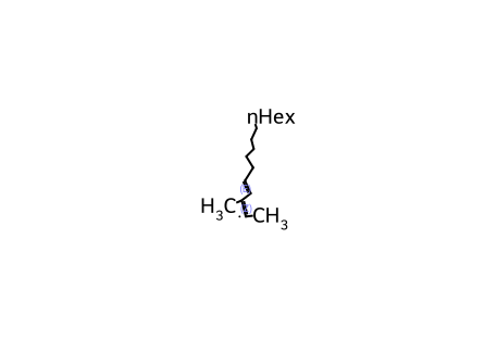 C/[C]=C(C)\C=C\CCCCCCCCCCC